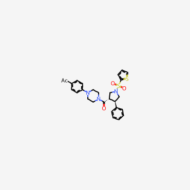 CC(=O)c1ccc(N2CCN(C(=O)[C@@H]3CN(S(=O)(=O)c4cccs4)C[C@H]3c3ccccc3)CC2)cc1